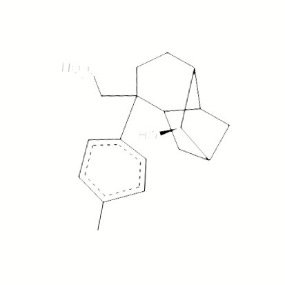 Cc1ccc(C2(CC(=O)O)CCC3C4CC(CC42)[C@H]3O)cc1